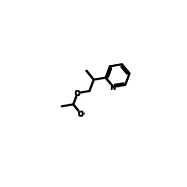 CC([O])OCC(C)c1ccccn1